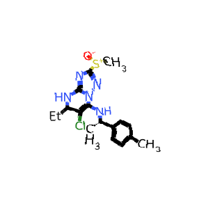 CCC1Nc2nc([S+](C)[O-])nn2C(N[C@@H](C)c2ccc(C)cc2)=C1Cl